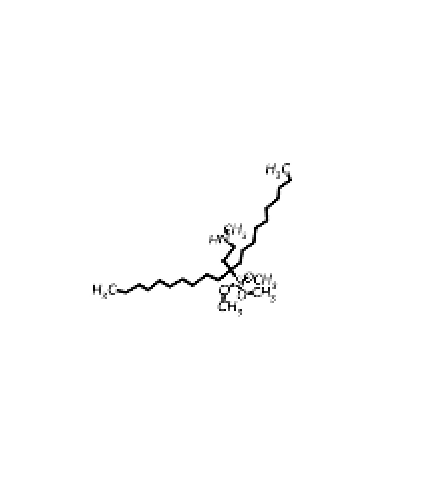 CCCCCCCCCCC(CCCCCCCCCC)(CCNC)[Si](OC)(OC)OC